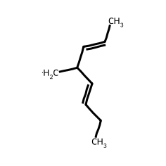 [CH2]C(/C=C/C)/C=C/CC